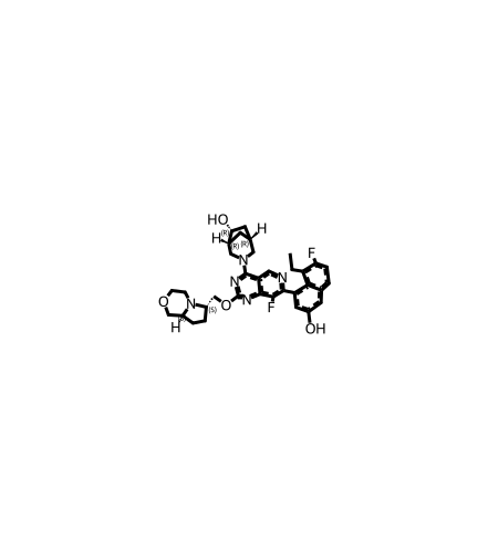 CCc1c(F)ccc2cc(O)cc(-c3ncc4c(N5C[C@@H]6C[C@H](C5)[C@H](O)C6)nc(OC[C@@H]5CC[C@H]6COCCN65)nc4c3F)c12